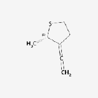 C=C=C1CCS[C@H]1C